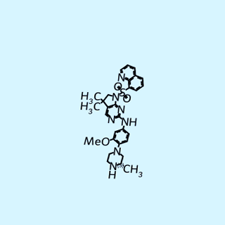 COc1cc(Nc2ncc3c(n2)N(S(=O)(=O)c2cccc4cccnc24)CC3(C)C)ccc1N1CCN[C@@H](C)C1